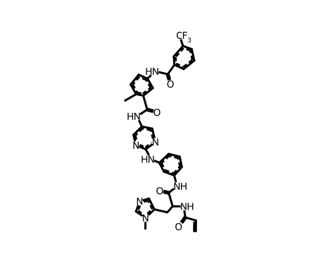 C=CC(=O)NC(Cc1cncn1C)C(=O)Nc1cccc(Nc2ncc(NC(=O)c3cc(NC(=O)c4cccc(C(F)(F)F)c4)ccc3C)cn2)c1